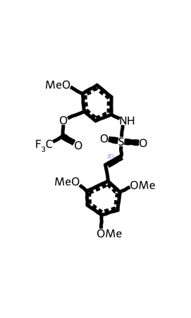 COc1cc(OC)c(/C=C/S(=O)(=O)Nc2ccc(OC)c(OC(=O)C(F)(F)F)c2)c(OC)c1